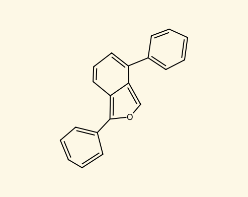 c1ccc(-c2cccc3c(-c4ccccc4)occ23)cc1